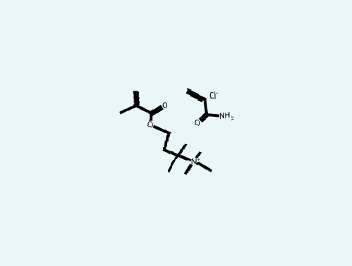 C=C(C)C(=O)OCCC(C)(C)[N+](C)(C)C.C=CC(N)=O.[Cl-]